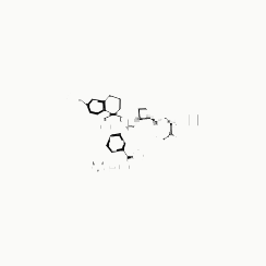 COC(=O)c1ccc2c(c1)N(C[C@@H]1CC[C@H]1[C@H]1C[C@@H](O)[C@@H](C)CO1)CC1(CCCc3cc(Cl)ccc31)CO2